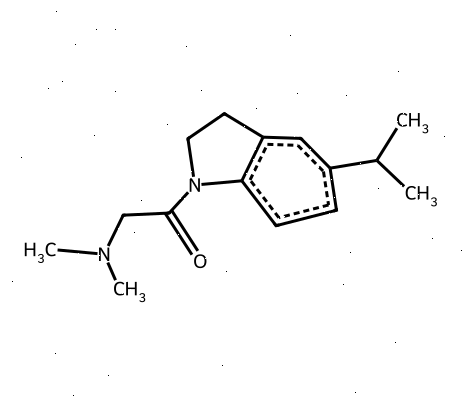 CC(C)c1ccc2c(c1)CCN2C(=O)CN(C)C